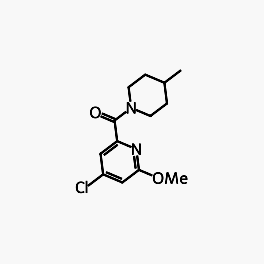 COc1cc(Cl)cc(C(=O)N2CCC(C)CC2)n1